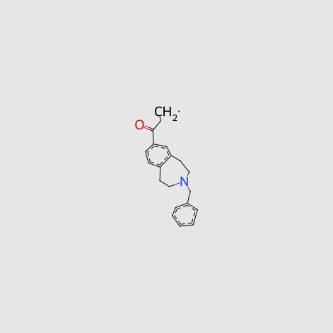 [CH2]CC(=O)c1ccc2c(c1)CCN(Cc1ccccc1)CC2